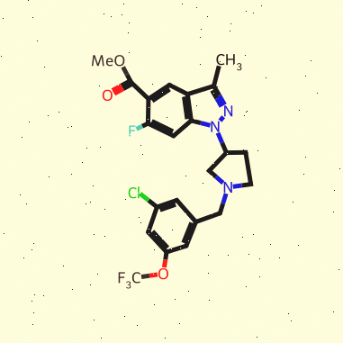 COC(=O)c1cc2c(C)nn(C3CCN(Cc4cc(Cl)cc(OC(F)(F)F)c4)C3)c2cc1F